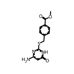 COC(=O)c1ccc(CSc2nc(N)cc(=O)[nH]2)cc1